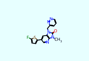 Cn1c(=O)n(Cc2cccnn2)c2cc(-c3ccc(F)s3)cnc21